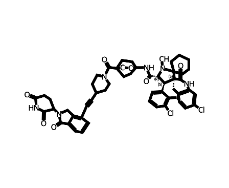 CN1[C@@H](C(=O)NC23CCC(C(=O)N4CCC(C#Cc5cccc6c5CN(C5CCC(=O)NC5=O)C6=O)CC4)(CC2)CC3)[C@H](c2cccc(Cl)c2F)[C@@]2(Cc3ccc(Cl)cc3NC2=O)C12CCCCC2